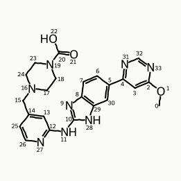 COc1cc(-c2ccc3nc(Nc4cc(CN5CCN(C(=O)O)CC5)ccn4)[nH]c3c2)ncn1